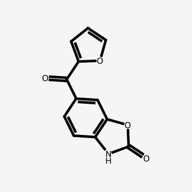 O=C(c1ccc2[nH]c(=O)oc2c1)c1ccco1